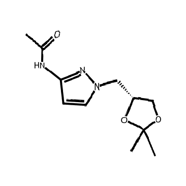 CC(=O)Nc1ccn(C[C@@H]2COC(C)(C)O2)n1